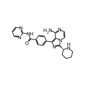 Nc1nccn2c([C@@H]3CCCCN3)nc(-c3ccc(C(=O)Nc4ncccn4)cc3)c12